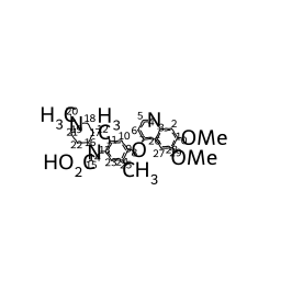 COc1cc2nccc(Oc3cc(C)c(N(C(=O)O)C4CCN(C)CC4)cc3C)c2cc1OC